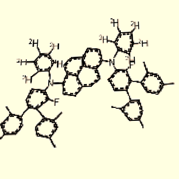 [2H]c1c([2H])c([2H])c(N(c2ccc(-c3ccc(C)cc3C)c(-c3ccc(C)cc3C)c2F)c2ccc3ccc4c(N(c5ccc(-c6ccc(C)cc6C)c(-c6ccc(C)cc6C)c5F)c5c([2H])c([2H])c([2H])c([2H])c5[2H])ccc5ccc2c3c54)c([2H])c1[2H]